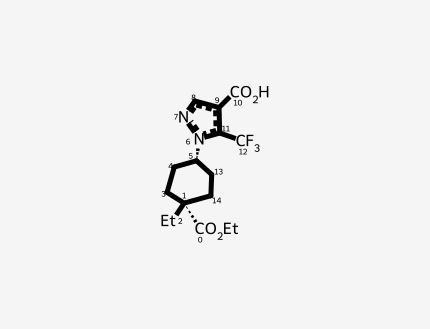 CCOC(=O)[C@]1(CC)CC[C@H](n2ncc(C(=O)O)c2C(F)(F)F)CC1